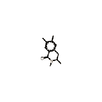 Cc1cc2c(cc1C)C(=O)N(C)C(C)C2